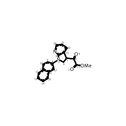 COC(=O)C(=O)C1CN(c2ccc3ccccc3c2)c2ncccc21